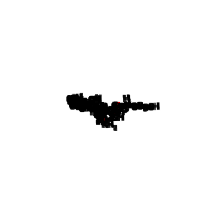 CCN(C(=O)CN)C1COCC(OC2C(O[C@H]3C#C/C=C\C#C[C@]4(O)CC(=O)C(NC(=O)OC)C3/C4=C\CSSC(C)(C)CC(=O)NCCOCCOCCOCCO)OC(C)C(NOC3CC(O)C(SC(=O)c4c(C)c(I)c(OC(OC)C(O)C(OC)C(C)O)c(OC)c4OC)C(C)O3)C2O)C1OC